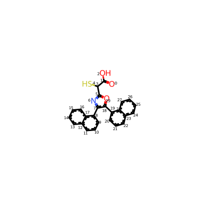 O=C(O)C(S)c1nc(-c2cccc3ccccc23)c(-c2cccc3ccccc23)o1